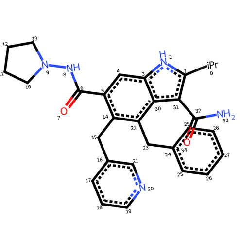 CC(C)c1[nH]c2cc(C(=O)NN3CCCC3)c(Cc3cccnc3)c(Cc3ccccc3)c2c1C(N)=O